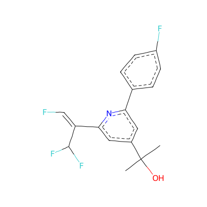 CC(C)(O)c1cc(C(=CF)C(F)F)nc(-c2ccc(F)cc2)c1